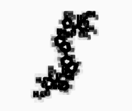 COC(=O)N[C@H](C(=O)N1CCC[C@H]1c1nc2ccc3cc(-c4ccc5c(ccc6nc([C@@H]7C[C@H](C)CN7C(=O)[C@@H](NC(=O)OC)C(C)C)[nH]c65)c4)ccc3c2[nH]1)C(C)C